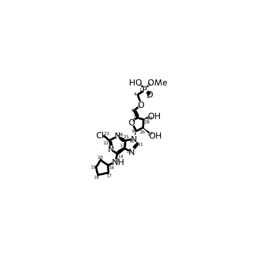 COP(=O)(O)COC=C1O[C@@H](n2cnc3c(NC4CCCC4)nc(Cl)nc32)[C@H](O)[C@@H]1O